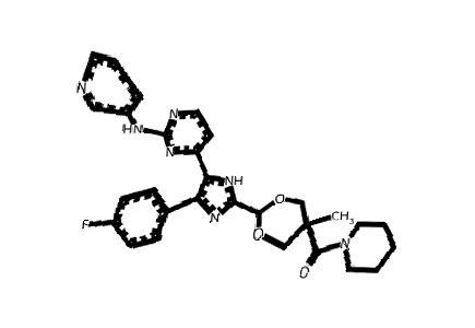 CC1(C(=O)N2CCCCC2)COC(c2nc(-c3ccc(F)cc3)c(-c3ccnc(Nc4cccnc4)n3)[nH]2)OC1